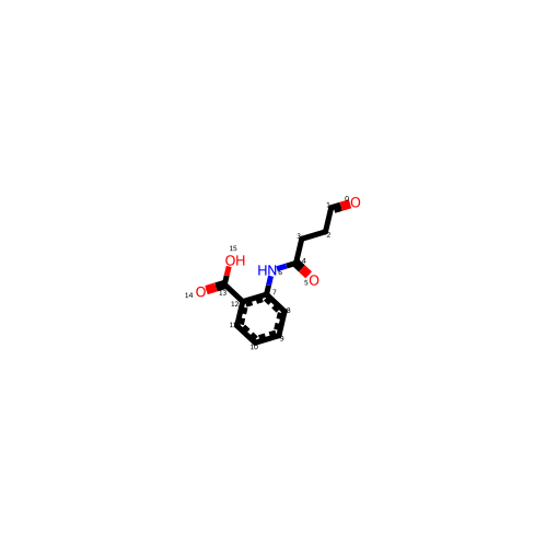 O=[C]CCC(=O)Nc1ccccc1C(=O)O